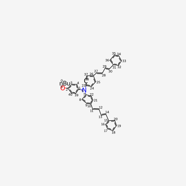 CCCCOc1ccc(N(c2ccc(/C=C/C=C/c3ccccc3)cc2)c2ccc(/C=C/C=C/c3ccccc3)cc2)cc1